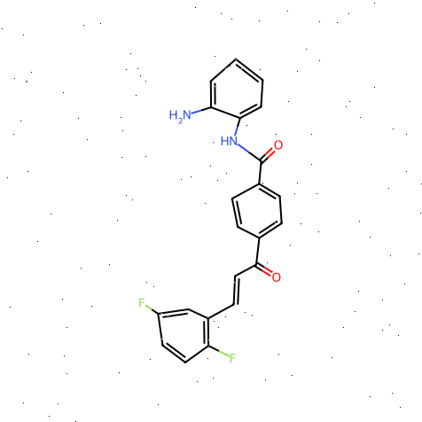 Nc1ccccc1NC(=O)c1ccc(C(=O)C=Cc2cc(F)ccc2F)cc1